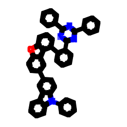 c1ccc(-c2nc(-c3ccccc3)nc(-c3ccccc3-c3cccc4oc5ccc(-c6ccc7c(c6)c6ccccc6n7-c6ccccc6)cc5c34)n2)cc1